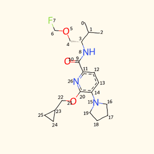 CC(C)[C@@H](COCF)NC(=O)c1ccc(N2CCCC2)c(OCC2CC2)n1